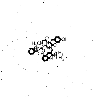 C[C@@H](NC(=O)N1C2CN(Cc3cc4ccccc4nc3N(C)C)C(=O)[C@H](Cc3ccc(O)cc3)N2C(=O)CN1C)c1ccccc1